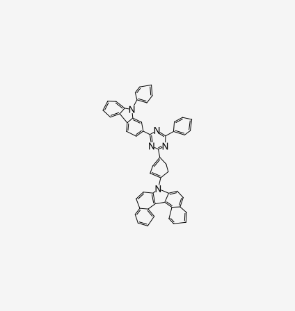 C1=C(c2nc(-c3ccccc3)nc(-c3ccc4c5ccccc5n(-c5ccccc5)c4c3)n2)CCC(n2c3ccc4ccccc4c3c3c4ccccc4ccc32)=C1